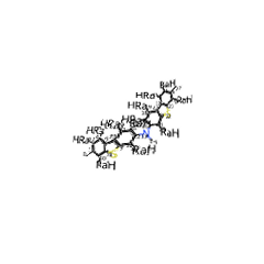 Cc1[c]([RaH])[c]([RaH])c2c(sc3[c]([RaH])c(N(C)c4[c]([RaH])[c]([RaH])c5c(sc6[c]([RaH])c(C)[c]([RaH])[c]([RaH])c65)[c]4[RaH])[c]([RaH])[c]([RaH])c32)[c]1[RaH]